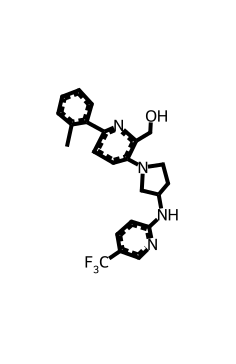 Cc1ccccc1-c1ccc(N2CCC(Nc3ccc(C(F)(F)F)cn3)C2)c(CO)n1